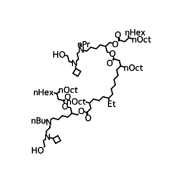 CCCCCCCCC(CCCCCC)CC(=O)OCC(CCCCN(CCC)CCN(CCO)C1CCC1)COC(=O)CC(CCCCCCCC)CCCCCCC(CC)CCCC(CCCCCCCC)CC(=O)OCC(CCCCN(CCCC)CCN(CCO)C1CCC1)COC(=O)CC(CCCCCC)CCCCCCCC